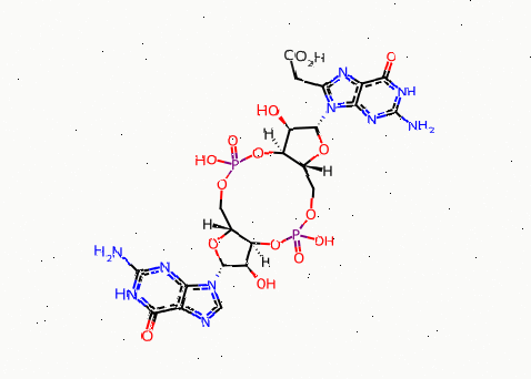 Nc1nc2c(ncn2[C@@H]2O[C@@H]3COP(=O)(O)O[C@H]4[C@@H](O)[C@H](n5c(CC(=O)O)nc6c(=O)[nH]c(N)nc65)O[C@@H]4COP(=O)(O)O[C@H]3[C@H]2O)c(=O)[nH]1